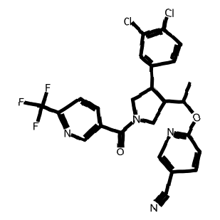 CC(Oc1ccc(C#N)cn1)C1CN(C(=O)c2ccc(C(F)(F)F)nc2)CC1c1ccc(Cl)c(Cl)c1